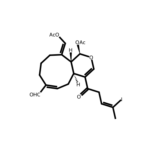 CC(=O)O/C=C1\CCC/C(C=O)=C\C[C@@H]2C(C(=O)C/C=C(/C)I)=CO[C@H](OC(C)=O)[C@@H]12